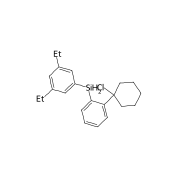 CCc1cc(CC)cc([SiH2]c2ccccc2C2(Cl)CCCCC2)c1